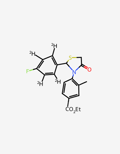 [2H]c1c([2H])c(C2SCC(=O)N2c2ccc(C(=O)OCC)cc2C)c([2H])c([2H])c1F